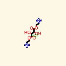 C[N+](C)(C)CCOC(=O)C(O)C(O)C(=O)OCC[N+](C)(C)C.Cl